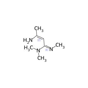 C/N=C(\C=C(\C)N)N(C)C